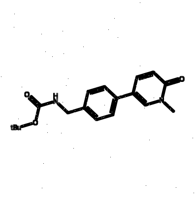 Cn1cc(-c2ccc(CNC(=O)OC(C)(C)C)cc2)ccc1=O